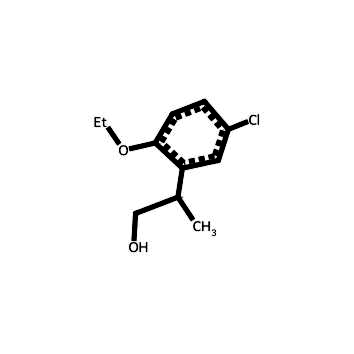 CCOc1ccc(Cl)cc1[C](C)CO